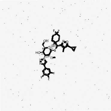 CO[C@@H]1[C@@H](n2cc(-c3cc(F)c(F)c(F)c3)nn2)[C@@H](O)[C@@H](CO)O[C@H]1SC(c1noc(C2CC2)c1C)C1(O)CCC(F)(F)CC1